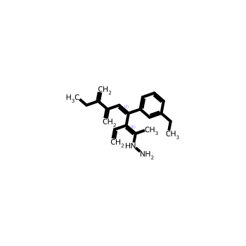 C=CC(/C(=C\C(=C)C(=C)CC)c1cccc(CC)c1)=C(/C)NN